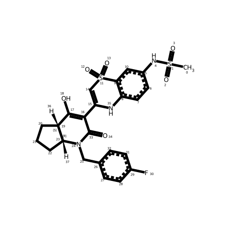 CS(=O)(=O)Nc1ccc2c(c1)S(=O)(=O)C=C(C1=C(O)[C@H]3CCC[C@H]3N(Cc3ccc(F)cc3)C1=O)N2